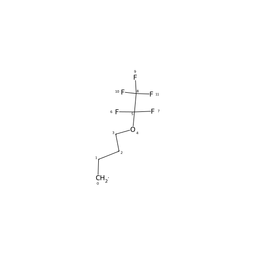 [CH2]CCCOC(F)(F)C(F)(F)F